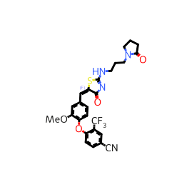 COc1cc(/C=C2/SC(NCCCN3CCCC3=O)=NC2=O)ccc1Oc1ccc(C#N)cc1C(F)(F)F